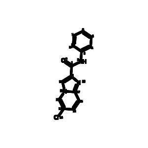 O=C(Nc1ccccn1)c1cn2cc(Cl)ccc2n1